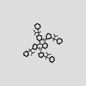 CC(C)C(C)(c1ccccc1)c1cccc(N2c3cc(C(C)(c4ccccc4)C(C)C)ccc3B3c4ccc(C(C)(c5ccccc5)C(C)C)cc4N(c4cccc(C(C)(c5ccccc5)C(C)C)c4)c4cccc2c43)c1